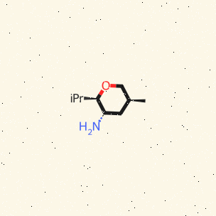 CC(C)[C@H]1OC[C@@H](C)C[C@@H]1N